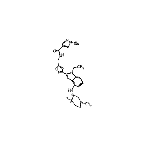 CN1CC[C@H](F)[C@H](Nc2cccc3c2cc(-c2noc(CNC(=O)c4cnn(C(C)(C)C)c4)n2)n3CC(F)(F)F)C1